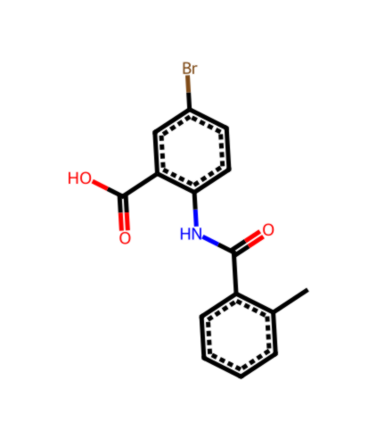 Cc1ccccc1C(=O)Nc1ccc(Br)cc1C(=O)O